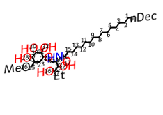 CCCCCCCCCCCCCCCCCCCCCCCCCC(=O)NC(COC1CC(COC)C(O)C(O)C1O)C(O)C(O)CC